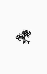 CCCOCC[C@H]1CN(C(=O)c2cccc3ccccc23)CCN1C[C@H](CSC(c1ccccc1)(c1ccccc1)c1ccccc1)NC(=O)OC(C)(C)C